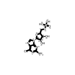 Nc1nc(Cl)c2ncn([C@@H]3OC(COP(=O)(O)O)[C@@H](O)[C@H]3O)c2n1